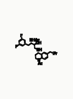 CC(=O)N[C@@H](Cc1cc(F)cc(F)c1)[C@@H](O)CN[C@H]1CCN(C(C)=O)c2ccc(CC(C)C)cc21